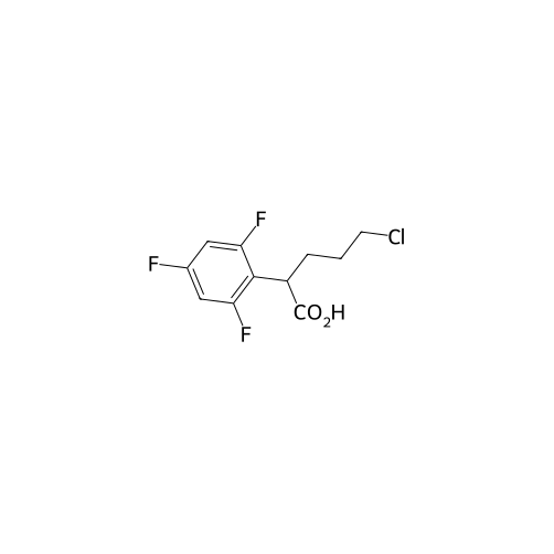 O=C(O)C(CCCCl)c1c(F)cc(F)cc1F